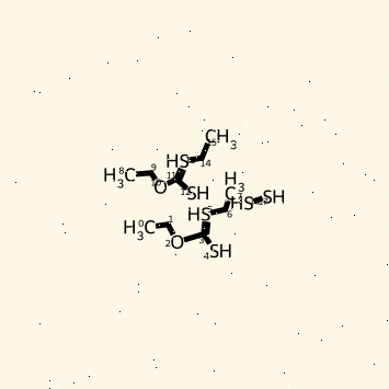 CCOC(S)=[SH]CC.CCOC(S)=[SH]CC.SS